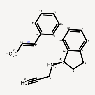 C#CCN[C@@H]1CCc2ccccc21.O=C(O)/C=C/c1ccccc1